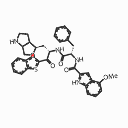 COc1cccc2[nH]c(C(=O)N[C@@H](Cc3ccccc3)C(=O)N[C@@H](C[C@H]3OCC4NCCC43)C(=O)c3nc4ccccc4s3)cc12